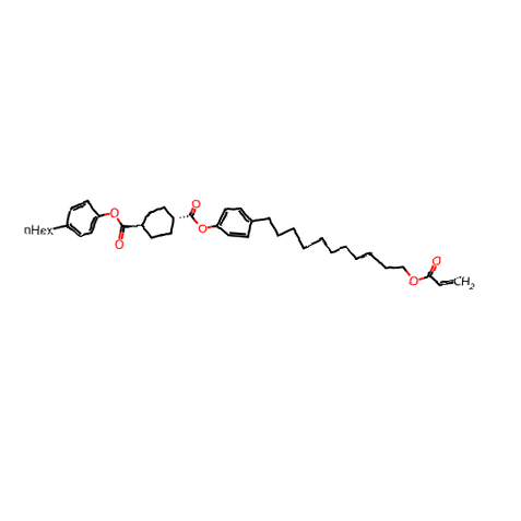 C=CC(=O)OCCCCCCCCCCCc1ccc(OC(=O)[C@H]2CC[C@H](C(=O)Oc3ccc(CCCCCC)cc3)CC2)cc1